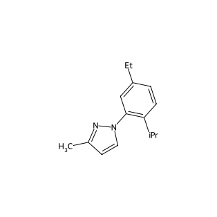 CCc1ccc(C(C)C)c(-n2ccc(C)n2)c1